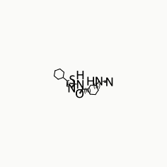 N#CN[C@H]1CCC[C@@H](C(=O)Nc2ncc(C3CCCCC3)s2)C1